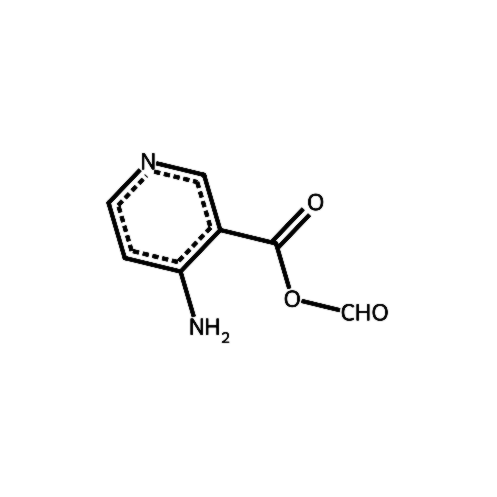 Nc1ccncc1C(=O)OC=O